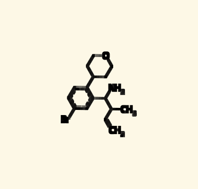 C=CC(C)C(N)c1cc(Br)ccc1C1CCOCC1